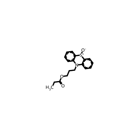 CCC(=O)OCCCN1c2ccccc2[S+]([O-])c2ccccc21